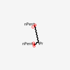 CCCCCOC(=O)CCCCCCCCCCCC(CCC(=O)OCCCCC)C(C)C